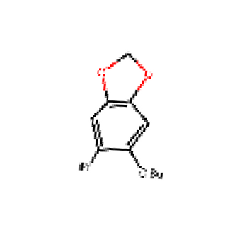 CC(C)COc1cc2c(cc1C(C)C)OCO2